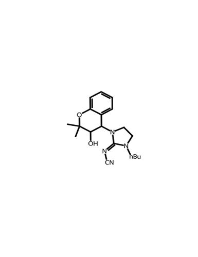 CCCCN1CCN(C2c3ccccc3OC(C)(C)C2O)C1=NC#N